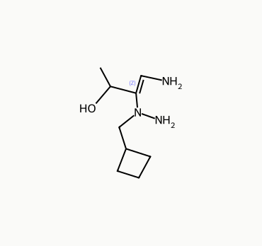 CC(O)/C(=C/N)N(N)CC1CCC1